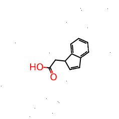 O=C(O)CC1C=Cc2ccccc21